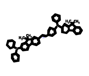 CC1(C)C2=CC(N(c3ccccc3)c3ccc(/C=C/c4ccc5c(c4)C(C)(C)c4cc(N(C6=CC=CCC6)c6ccccc6)ccc4-5)cc3)=CCC2c2ccccc21